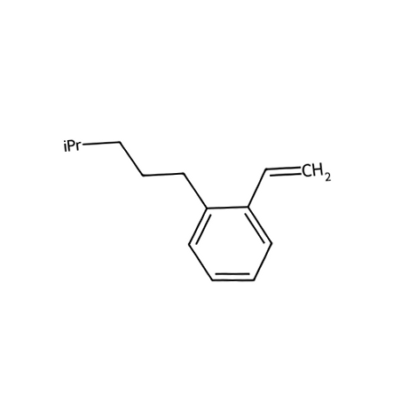 C=Cc1ccccc1CCCC(C)C